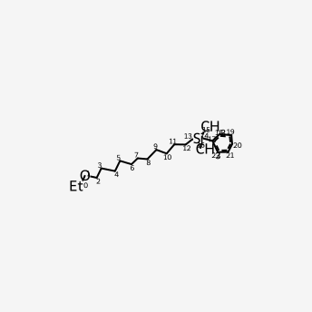 CCOCCCCCCCCCCCC[Si](C)(C)c1ccccc1